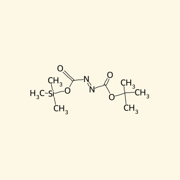 CC(C)(C)OC(=O)/N=N/C(=O)O[Si](C)(C)C